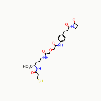 O=C(COCC(=O)Nc1ccc(CCC(=O)N2CCC2=O)cc1)NCCCC(NC(=O)CCS)C(=O)O